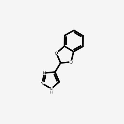 c1ccc2c(c1)O[C](c1c[nH]nn1)O2